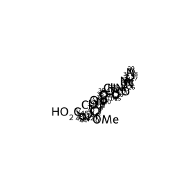 COC1=CC(F)C(C(=O)n2ccc3c(-c4cccc(NC(=O)c5nc6c(n5C)CCN(C)C6)c4Cl)cccc32)=C(Cl)C=C1CN1CCC(C(=O)O)C1